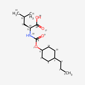 CCCC1CCC(OC(=O)N[C@@H](CC(C)C)C(=O)O)CC1